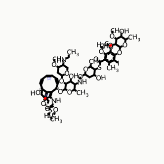 CCNC1COC(OC2C(O[C@H]3C#C/C=C\C#C[C@]4(O)CC(=O)C(NC(=O)OC)=C3/C4=C\CSSSC)OC(C)C(NOC3CC(O)C(SC(=O)c4c(C)c(I)c(OC5OC(C)C(O)C(OC)C5O)c(OC)c4OC)C(C)O3)C2O)CC1OC